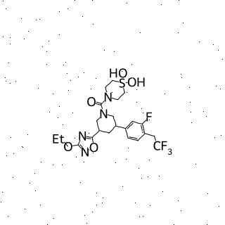 CCOc1noc(C2CC(c3ccc(CC(F)(F)F)c(F)c3)CN(C(=O)N3CCS(O)(O)CC3)C2)n1